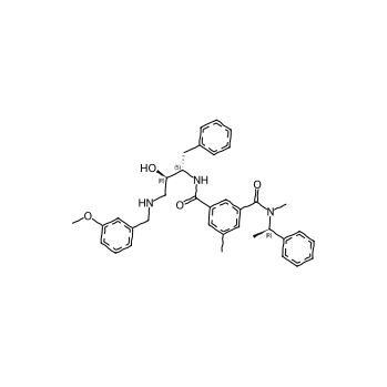 COc1cccc(CNC[C@@H](O)[C@H](Cc2ccccc2)NC(=O)c2cc(C)cc(C(=O)N(C)[C@H](C)c3ccccc3)c2)c1